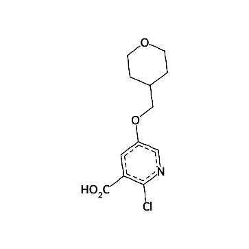 O=C(O)c1cc(OCC2CCOCC2)cnc1Cl